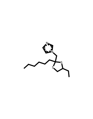 CCCCCCC1(Cn2ccnc2)SCC(CC)S1